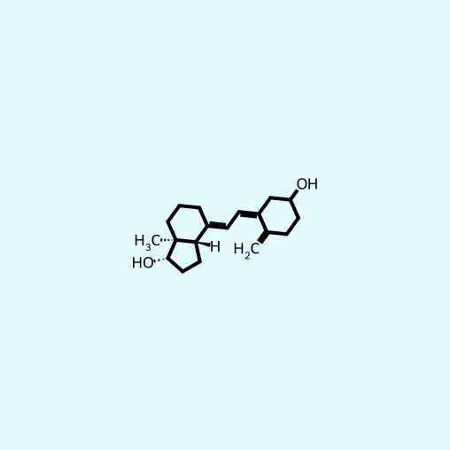 C=C1CCC(O)C/C1=C/C=C1\CCC[C@]2(C)[C@@H](O)CC[C@@H]12